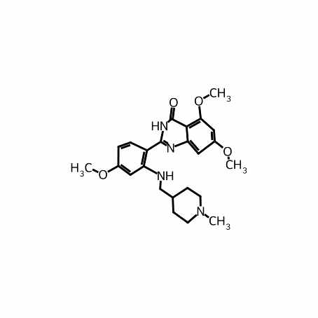 COc1ccc(-c2nc3cc(OC)cc(OC)c3c(=O)[nH]2)c(NCC2CCN(C)CC2)c1